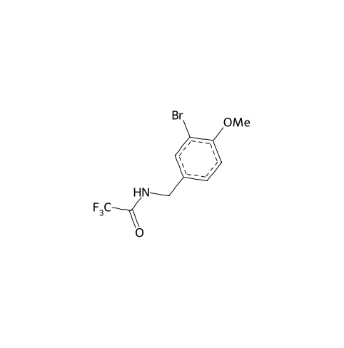 COc1ccc(CNC(=O)C(F)(F)F)cc1Br